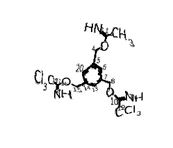 CC(=N)OCc1cc(COC(=N)C(Cl)(Cl)Cl)cc(COC(=N)C(Cl)(Cl)Cl)c1